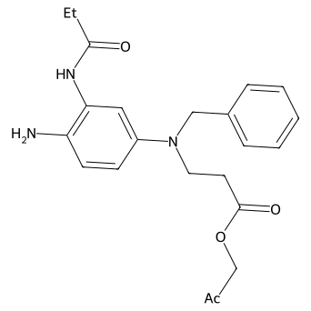 CCC(=O)Nc1cc(N(CCC(=O)OCC(C)=O)Cc2ccccc2)ccc1N